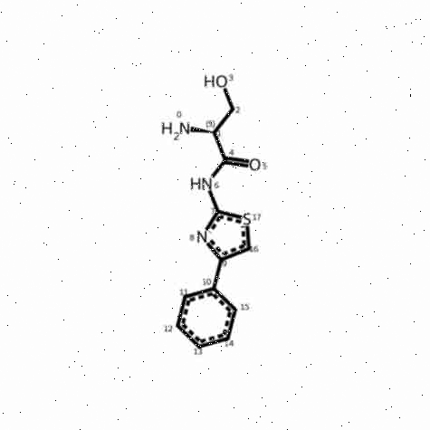 N[C@@H](CO)C(=O)Nc1nc(-c2ccccc2)cs1